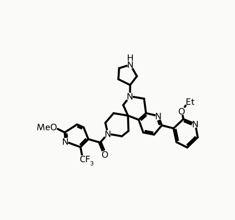 CCOc1ncccc1-c1ccc2c(n1)CN(C1CCNC1)CC21CCN(C(=O)c2ccc(OC)nc2C(F)(F)F)CC1